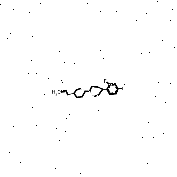 C=CC[C@H]1CC[C@H]([C@H]2CC[C@H](c3ccc(F)cc3F)CC2)CC1